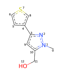 Cn1nc(-c2ccsc2)cc1CO